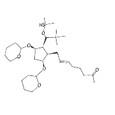 CC(=O)CCCC=CC[C@@H]1[C@H](C(O[SiH](C)C)C(C)(C)C)[C@H](OC2CCCCO2)C[C@@H]1OC1CCCCO1